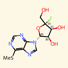 CSc1ncnc2c1ncn2[C@@H]1O[C@](F)(CO)[C@@H](O)[C@H]1O